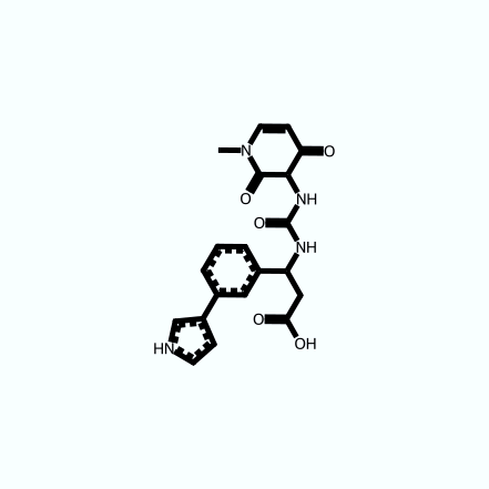 CN1C=CC(=O)C(NC(=O)NC(CC(=O)O)c2cccc(-c3cc[nH]c3)c2)C1=O